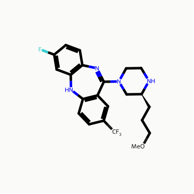 COCCC[C@H]1CN(C2=Nc3ccc(F)cc3Nc3ccc(C(F)(F)F)cc32)CCN1